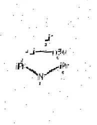 CC(C)[N-]C(C)C.[Li+].[Li][CH2]CCC